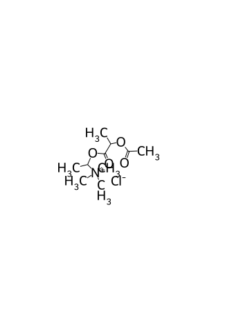 CC(=O)OC(C)C(=O)OC(C)[N+](C)(C)C.[Cl-]